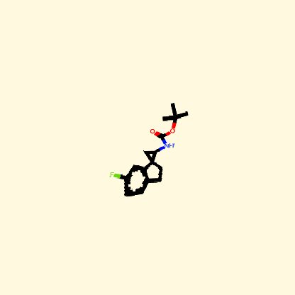 CC(C)(C)OC(=O)NC1CC12CCc1ccc(F)cc12